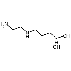 C[SiH](O)CCCNCCN